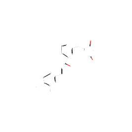 O=C1NC(=O)C(Cc2cccc(C(=O)C=Cc3ccc(O)c(O)c3)c2)S1